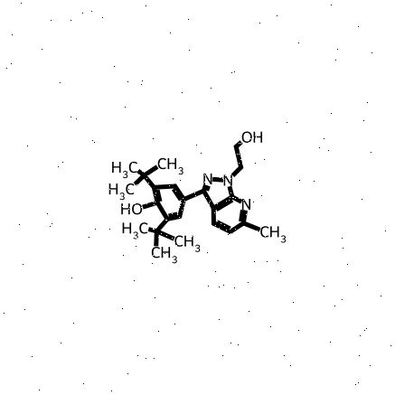 Cc1ccc2c(-c3cc(C(C)(C)C)c(O)c(C(C)(C)C)c3)nn(CCO)c2n1